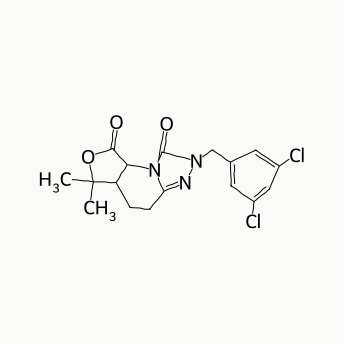 CC1(C)OC(=O)C2C1CCc1nn(Cc3cc(Cl)cc(Cl)c3)c(=O)n12